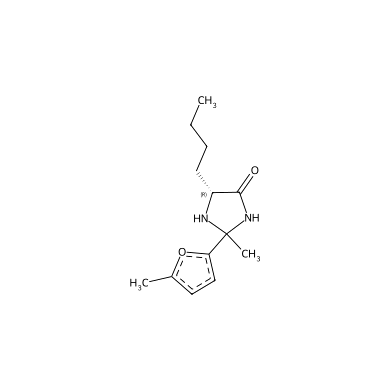 CCCC[C@H]1NC(C)(c2ccc(C)o2)NC1=O